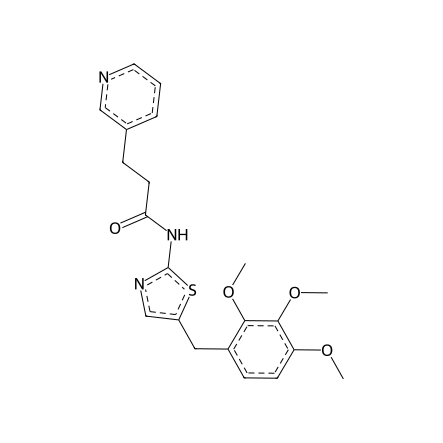 COc1ccc(Cc2cnc(NC(=O)CCc3cccnc3)s2)c(OC)c1OC